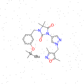 Cc1noc(C)c1Cn1cc(N2C(=O)N(Cc3cccc(O[Si](C)(C)C(C)(C)C)c3)C(C)(C)C2=O)cn1